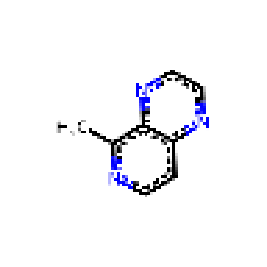 Cc1nccc2nccnc12